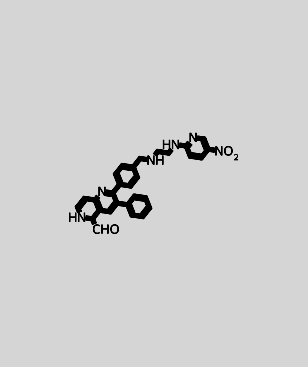 O=CC1NC=Cc2nc(-c3ccc(CNCCNc4ccc([N+](=O)[O-])cn4)cc3)c(-c3ccccc3)cc21